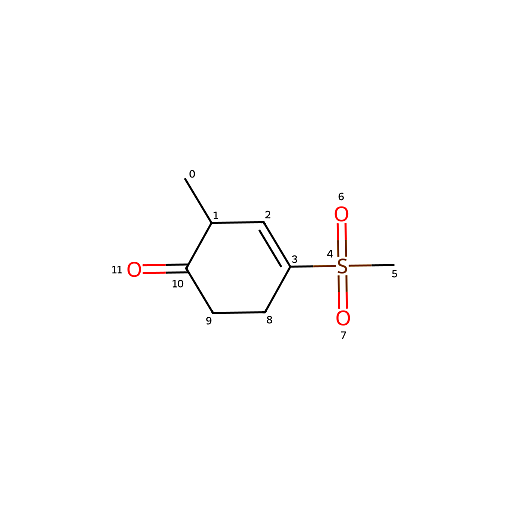 CC1C=C(S(C)(=O)=O)CCC1=O